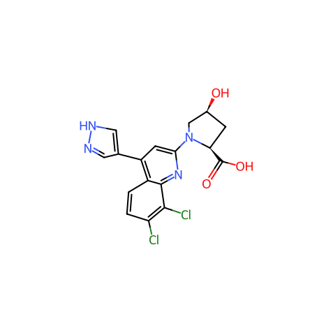 O=C(O)[C@@H]1C[C@H](O)CN1c1cc(-c2cn[nH]c2)c2ccc(Cl)c(Cl)c2n1